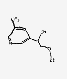 CCOCC(O)c1cncc(C(F)(F)F)c1